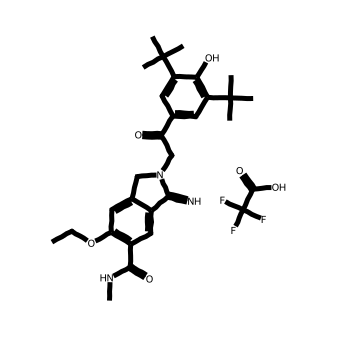 CCOc1cc2c(cc1C(=O)NC)C(=N)N(CC(=O)c1cc(C(C)(C)C)c(O)c(C(C)(C)C)c1)C2.O=C(O)C(F)(F)F